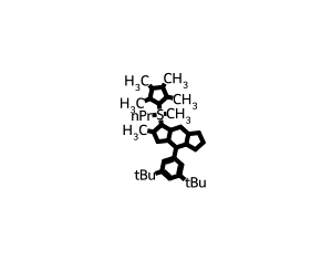 CCCS(C)(C1C(C)C(C)C(C)C1C)C1C(C)CC2C1CC1CCCC1C2c1cc(C(C)(C)C)cc(C(C)(C)C)c1